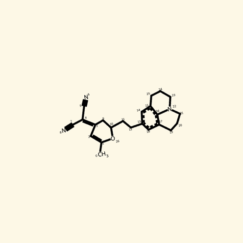 CC1=CC(=C(C#N)C#N)CC(CCc2cc3c4c(c2)CCCN4CCC3)O1